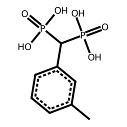 Cc1cccc(C(P(=O)(O)O)P(=O)(O)O)c1